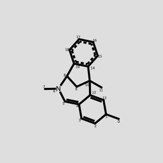 CC1C=CC2=CN(C)C3CC(C)(C2=C1)c1ccccc13